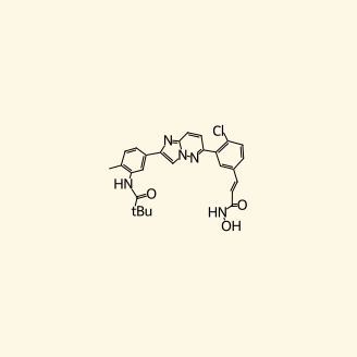 Cc1ccc(-c2cn3nc(-c4cc(C=CC(=O)NO)ccc4Cl)ccc3n2)cc1NC(=O)C(C)(C)C